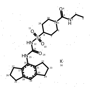 CCNC(=O)N1CCC(S(=O)(=O)NC(=O)Nc2c3c(cc4c2CCC4)CCC3)CC1.[K]